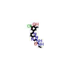 CCNC(=O)Nc1cnc2ccc(-c3cc(C)c(O)c(Cl)c3)nc2n1